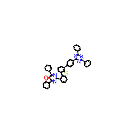 c1ccc(-c2nc(-c3ccccc3)nc(-c3ccc(-c4cccc5c4sc4cccc(-c6nc(-c7ccccc7)c7oc8ccccc8c7n6)c45)cc3)n2)cc1